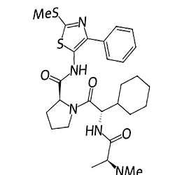 CN[C@@H](C)C(=O)N[C@H](C(=O)N1CCC[C@H]1C(=O)Nc1sc(SC)nc1-c1ccccc1)C1CCCCC1